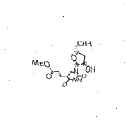 COC(=O)C=Cc1cn([C@@H]2O[C@H](CO)C[C@H]2O)c(=O)[nH]c1=O